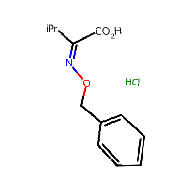 CC(C)C(=NOCc1ccccc1)C(=O)O.Cl